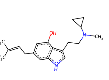 CC(C)=CCc1cc(O)c2c(CCN(C)C3CC3)c[nH]c2c1